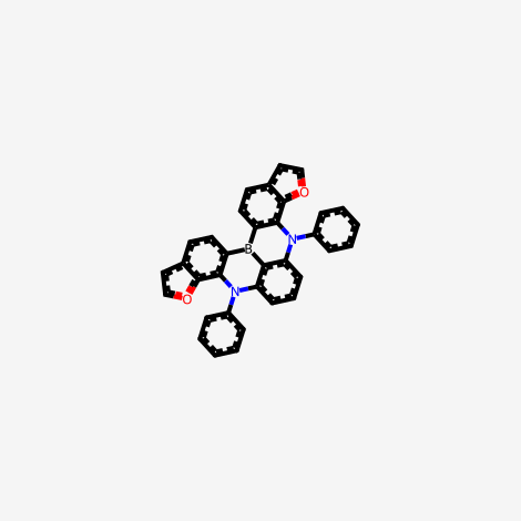 c1ccc(N2c3cccc4c3B(c3ccc5ccoc5c32)c2ccc3ccoc3c2N4c2ccccc2)cc1